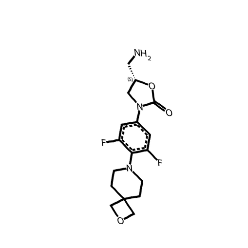 NC[C@H]1CN(c2cc(F)c(N3CCC4(CC3)COC4)c(F)c2)C(=O)O1